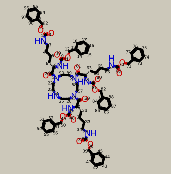 O=C(NCCCC[C@H](NC(=O)OCc1ccccc1)C(=O)N1CCNCCN(C(=O)[C@H](CCCCNC(=O)OCc2ccccc2)NC(=O)OCc2ccccc2)CCN(C(=O)[C@H](CCCCNC(=O)OCc2ccccc2)NC(=O)OCc2ccccc2)CC1)OCc1ccccc1